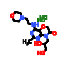 Cc1nc(NCCN2CCOCC2)c2c(n1)N(CC(O)CO)C(=O)CO2.Cl.Cl